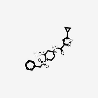 C[C@@H]1C[C@@H](NC(=O)c2cc(C3CC3)on2)CCN1S(=O)(=O)Cc1ccccc1